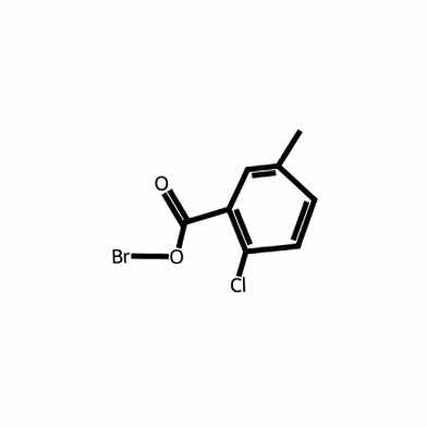 Cc1ccc(Cl)c(C(=O)OBr)c1